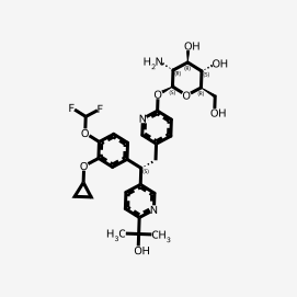 CC(C)(O)c1ccc([C@@H](Cc2ccc(O[C@@H]3O[C@H](CO)[C@@H](O)[C@H](O)[C@H]3N)nc2)c2ccc(OC(F)F)c(OC3CC3)c2)cn1